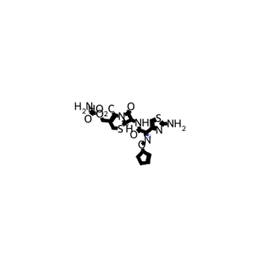 NC(=O)OCC1=C(C(=O)O)N2C(=O)C(NC(=O)/C(=N\OC3C=CCC3)c3csc(N)n3)[C@H]2SC1